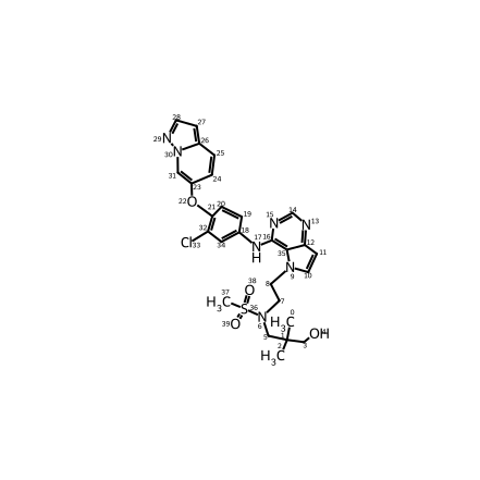 CC(C)(CO)CN(CCn1ccc2ncnc(Nc3ccc(Oc4ccc5ccnn5c4)c(Cl)c3)c21)S(C)(=O)=O